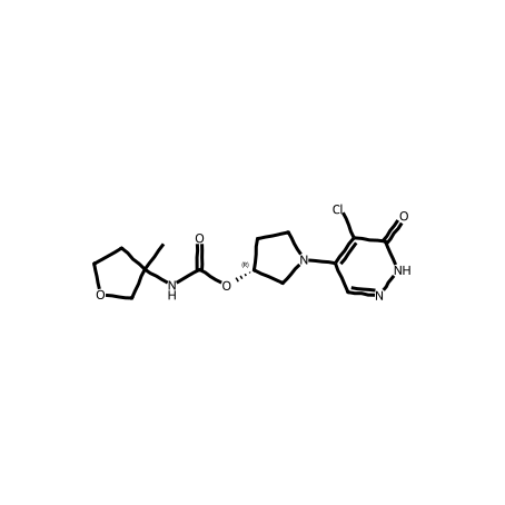 CC1(NC(=O)O[C@@H]2CCN(c3cn[nH]c(=O)c3Cl)C2)CCOC1